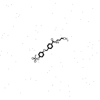 C=CCCNC(=O)c1ccc(COc2ccc(OS(=O)(=O)F)cc2)cc1